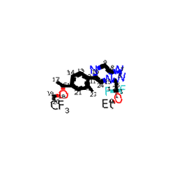 CCOC(F)(F)c1nnc2cnc(-c3ccc(C(C)OCC(F)(F)F)cc3C)cn12